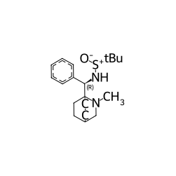 CN1CC2CCC1([C@H](N[S+]([O-])C(C)(C)C)c1ccccc1)CC2